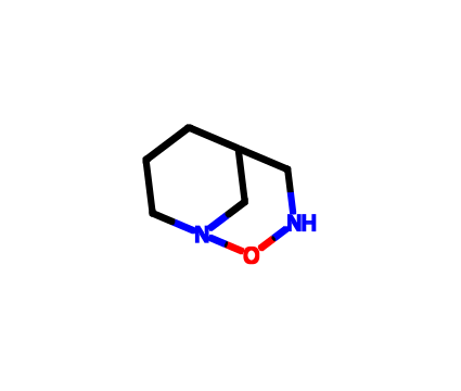 C1CC2CNON(C1)C2